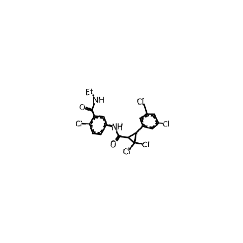 CCNC(=O)c1cc(NC(=O)C2C(c3cc(Cl)cc(Cl)c3)C2(Cl)Cl)ccc1Cl